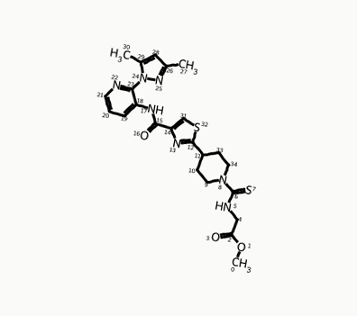 COC(=O)CNC(=S)N1CCC(c2nc(C(=O)Nc3cccnc3-n3nc(C)cc3C)cs2)CC1